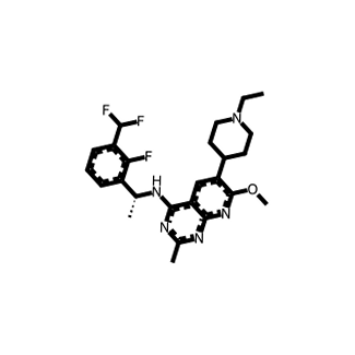 CCN1CCC(c2cc3c(N[C@H](C)c4cccc(C(F)F)c4F)nc(C)nc3nc2OC)CC1